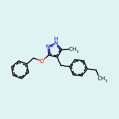 CCc1ccc(Cc2c(OCc3ccccc3)n[nH]c2C)cc1